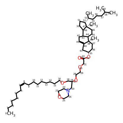 CCCCCCC/C=C\CCCCCCCCOCC(CN1CCOCC1)OCCOCC(=O)O[C@H]1CC[C@@]2(C)C(=CCC3C2CC[C@@]2(C)C3CC[C@@H]2C(C)CCCC(C)C)C1